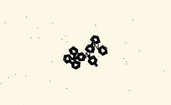 Cc1ccc(N(c2ccc(C3(c4ccccc4)c4ccccc4-c4ccccc43)cc2)c2ccc3c4ccccc4n(-c4ccccc4)c3c2)cc1